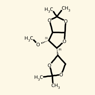 CO[C@@H]1C2OC(C)(C)OC2O[C@@H]1C1COC(C)(C)O1